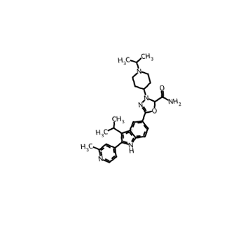 Cc1cc(-c2[nH]c3ccc(C4=NN(C5CCN(C(C)C)CC5)C(C(N)=O)O4)cc3c2C(C)C)ccn1